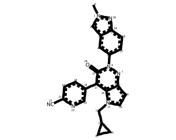 Cn1cc2cc(-n3nc4ccn(CC5CC5)c4c(-c4ccc(C#N)nc4)c3=O)ccc2n1